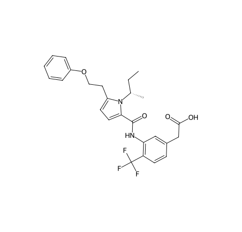 CC[C@H](C)n1c(CCOc2ccccc2)ccc1C(=O)Nc1cc(CC(=O)O)ccc1C(F)(F)F